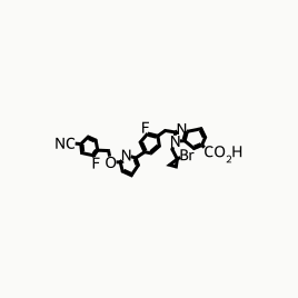 N#Cc1ccc(COc2cccc(-c3ccc(Cc4nc5ccc(C(=O)O)cc5n4CC4(Br)CC4)c(F)c3)n2)c(F)c1